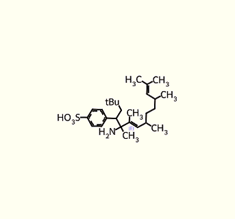 CC(C)=CC(C)CCC(C)/C=C(\C)C(C)(N)C(CC(C)(C)C)c1ccc(S(=O)(=O)O)cc1